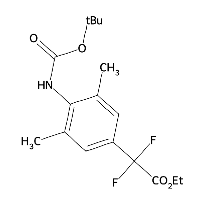 CCOC(=O)C(F)(F)c1cc(C)c(NC(=O)OC(C)(C)C)c(C)c1